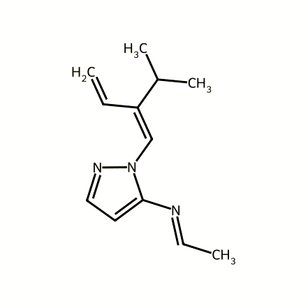 C=C/C(=C\n1nccc1/N=C/C)C(C)C